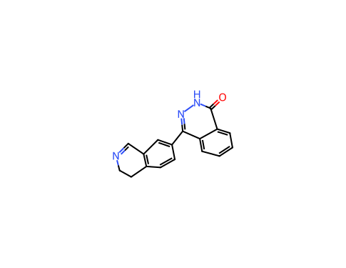 O=c1[nH]nc(-c2ccc3c(c2)C=NCC3)c2ccccc12